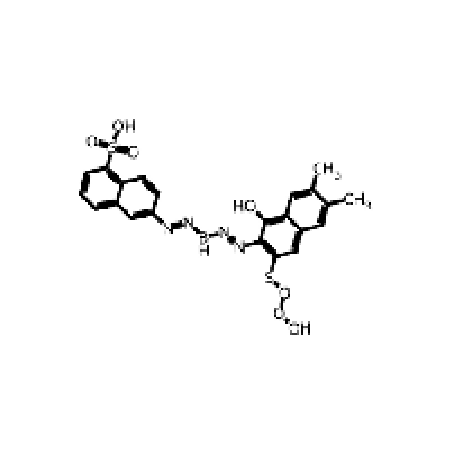 Cc1cc2cc(SOOO)c(N=NBN=Nc3ccc4c(S(=O)(=O)O)cccc4c3)c(O)c2cc1C